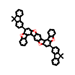 CC1(C)c2ccccc2-c2cc(-c3cc4oc5cc6c(cc5c4c4c3oc3ccccc34)oc3cc(-c4ccc5c(c4)-c4ccccc4C5(C)C)c4oc5ccccc5c4c36)ccc21